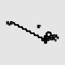 CCCCCCCCCCCCCCCCOP(=O)([O-])OC1(C)C=CC=CC1C.[K+]